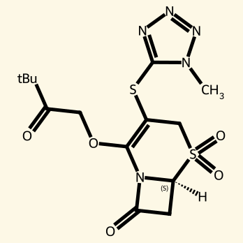 Cn1nnnc1SC1=C(OCC(=O)C(C)(C)C)N2C(=O)C[C@@H]2S(=O)(=O)C1